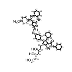 CC(C)c1c(C(=O)Nc2ccccc2)c(-c2ccccc2)c(-c2ccc(F)cc2)n1CC[C@@H](O)C[C@@H](O)CC(=O)O.Cc1cc2c(s1)Nc1ccccc1N=C2N1CCN(C)CC1